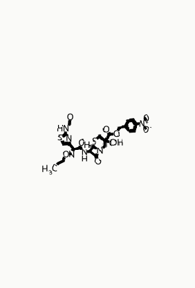 CCCON=C(C(=O)NC1C(=O)N2CC(O)(C(=O)OCc3ccc([N+](=O)[O-])cc3)CS[C@H]12)c1csc(NC=O)n1